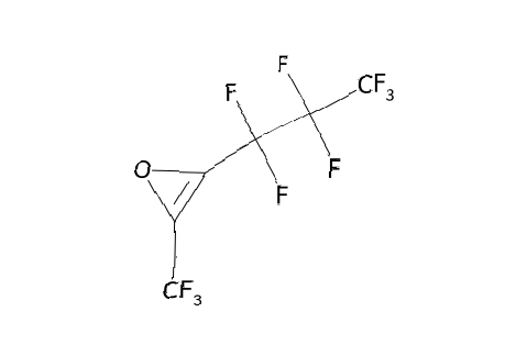 FC(F)(F)C1=C(C(F)(F)C(F)(F)C(F)(F)F)O1